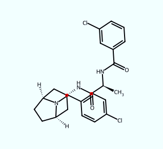 C[C@H](NC(=O)c1cccc(Cl)c1)C(=O)N[C@@H]1C[C@H]2CC[C@@H](C1)N2Cc1ccc(Cl)cc1